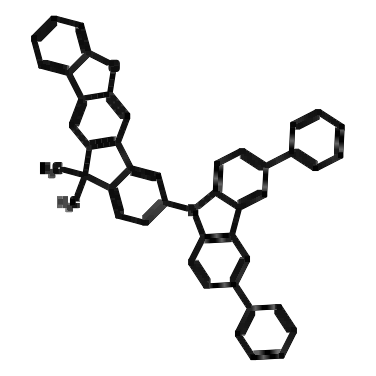 CC1(C)c2ccc(-n3c4ccc(-c5ccccc5)cc4c4cc(-c5ccccc5)ccc43)cc2-c2cc3oc4ccccc4c3cc21